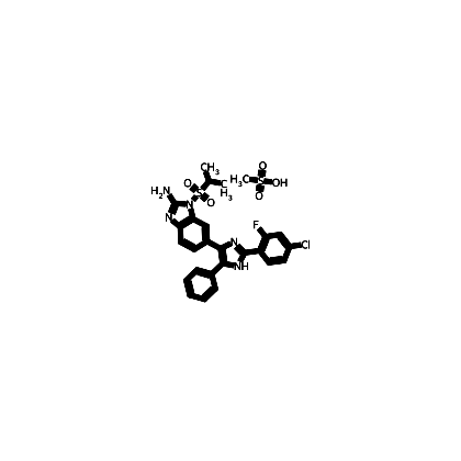 CC(C)S(=O)(=O)n1c(N)nc2ccc(-c3nc(-c4ccc(Cl)cc4F)[nH]c3-c3ccccc3)cc21.CS(=O)(=O)O